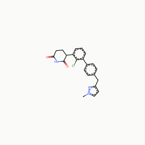 Cn1ccc(Cc2ccc(-c3cccc(C4CCC(=O)NC4=O)c3Cl)cc2)n1